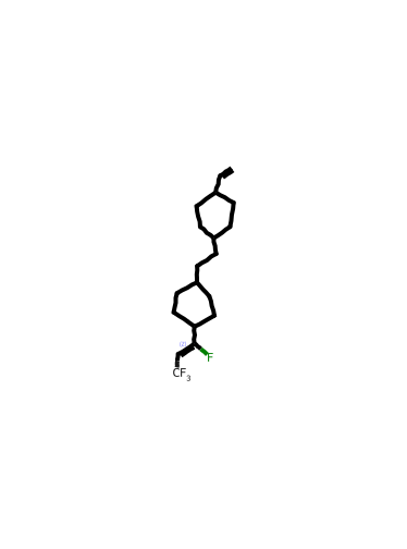 C=CC1CCC(CCC2CCC(/C(F)=C/C(F)(F)F)CC2)CC1